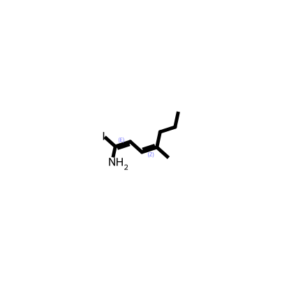 CCC/C(C)=C\C=C(/N)I